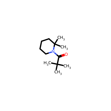 CC(C)(C)C(=O)N1CCCCC1(C)C